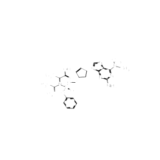 CC(C)N(C(C)C(=O)O)[P@@](=O)(OC[C@@H]1C=C[C@H](n2cnc3c(N(C)C)nc(N)nc32)C1)Oc1ccccc1